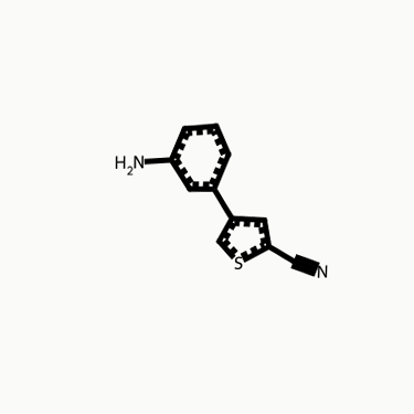 N#Cc1cc(-c2cccc(N)c2)cs1